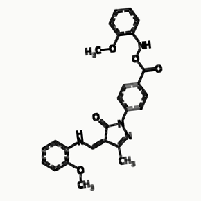 COc1ccccc1NC=C1C(=O)N(c2ccc(C(=O)ONc3ccccc3OC)cc2)N=C1C